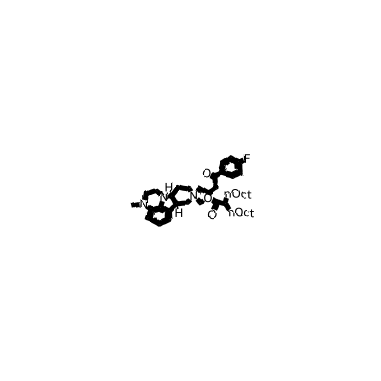 CCCCCCCCC(CCCCCCCC)C(=O)OC[N+]1(CCCC(=O)c2ccc(F)cc2)CC[C@H]2[C@@H](C1)c1cccc3c1N2CCN3C